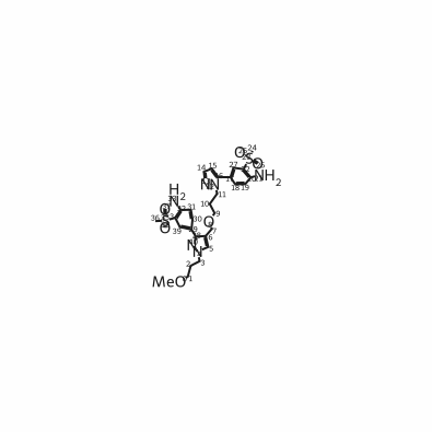 COCCCn1cc(COCCCn2nccc2-c2ccc(N)c(S(C)(=O)=O)c2)c(-c2ccc(N)c(S(C)(=O)=O)c2)n1